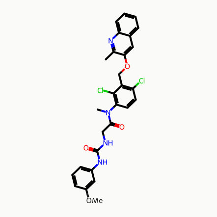 COc1cccc(NC(=O)NCC(=O)N(C)c2ccc(Cl)c(COc3cc4ccccc4nc3C)c2Cl)c1